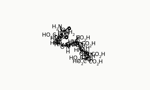 CC(C)C[C@H](NC(=O)[C@H](CCC(=O)O)NC(=O)[C@H](Cc1ccccc1)NC(=O)[C@H](CCCCN)NC(=O)[C@@H](N)Cc1ccccc1)C(=O)N[C@@H](C)C(=O)NCC(=O)NCC(=O)N[C@@H](C)C(=O)NCC(=O)N[C@@H](CCC(=O)O)C(=O)N[C@@H](CCC(=O)O)C(=O)NCC(=O)N[C@@H](CO)C(=O)NCC(=O)N[C@@H](CCC(=O)O)C(=O)N[C@@H](CCC(=O)O)C(=O)N[C@@H](CCC(=O)O)C(=O)O